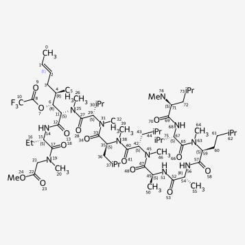 C/C=C/C[C@@H](C)[C@@H](OC(=O)C(F)(F)F)[C@@H](C(=O)N[C@@H](CC)C(=O)N(C)CC(=O)OC)N(C)C(=O)[C@H](C(C)C)N(C)C(=O)[C@H](CC(C)C)N(C)C(=O)[C@H](CC(C)C)N(C)C(=O)[C@H](C)NC(=O)[C@@H](C)NC(=O)[C@H](CCC(C)C)N(C)C(=O)[C@@H](NC(=O)[C@H](CC(C)C)NC)C(C)C